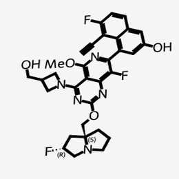 C#Cc1c(F)ccc2cc(O)cc(-c3nc(OC)c4c(N5CC(CO)C5)nc(OC[C@@]56CCCN5C[C@H](F)C6)nc4c3F)c12